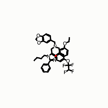 CCCCn1c(-c2ccccc2)nc(-c2cccc(OCC)c2)c1CN(Cc1cccc(OC(F)(F)C(F)F)c1)Cc1ccc2c(c1)OCO2